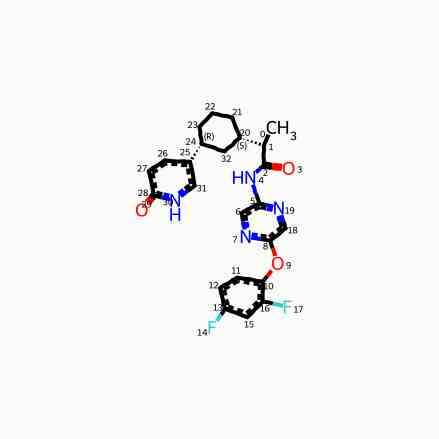 CC(C(=O)Nc1cnc(Oc2ccc(F)cc2F)cn1)[C@H]1CCC[C@@H](c2ccc(=O)[nH]c2)C1